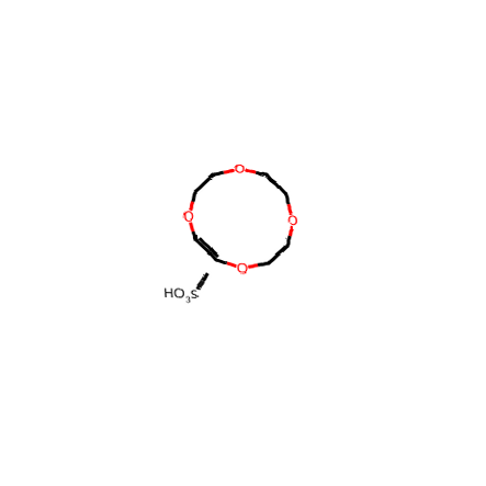 C1=COCCOCCOCCO1.CS(=O)(=O)O